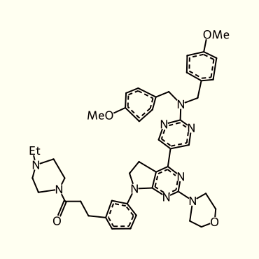 CCN1CCN(C(=O)CCc2cccc(N3CCc4c(-c5cnc(N(Cc6ccc(OC)cc6)Cc6ccc(OC)cc6)nc5)nc(N5CCOCC5)nc43)c2)CC1